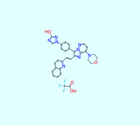 O=C(O)C(F)(F)F.Oc1ncn(-c2ccc(-c3c(C=Cc4ccc5ccccc5n4)nc4c(N5CCOCC5)ccnn34)cc2)n1